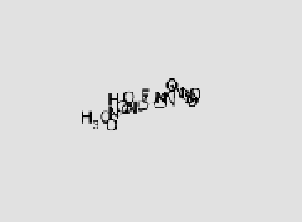 CC(=O)NC[C@H]1CN(c2ccc(-c3ccc4nc(C(=O)N5CCS(=O)(=O)CC5)cn4c3)c(F)c2)C(=O)O1